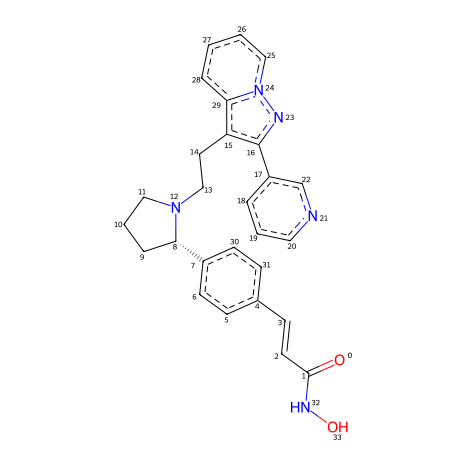 O=C(C=Cc1ccc([C@@H]2CCCN2CCc2c(-c3cccnc3)nn3ccccc23)cc1)NO